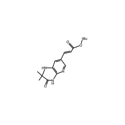 CC(C)(C)OC(=O)/C=C/c1cnc2c(c1)NC(C)(C)C(=O)N2